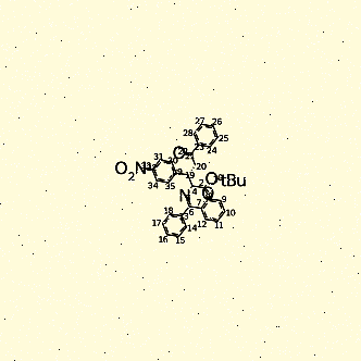 CC(C)(C)OC(=O)[C@H](N=C(c1ccccc1)c1ccccc1)[C@@H](CC(=O)c1ccccc1)c1ccc([N+](=O)[O-])cc1